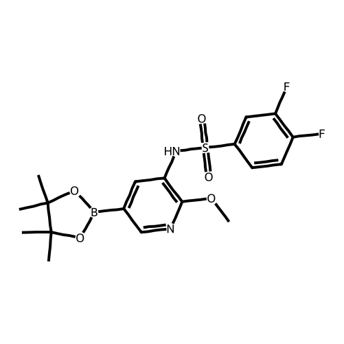 COc1ncc(B2OC(C)(C)C(C)(C)O2)cc1NS(=O)(=O)c1ccc(F)c(F)c1